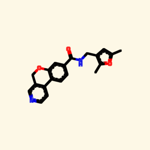 Cc1cc(CNC(=O)c2ccc3c(c2)OCc2cnccc2-3)c(C)o1